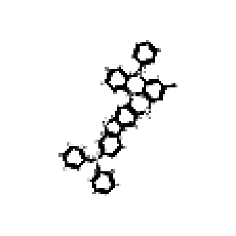 Cc1cc2c3c(c1)N(c1ccccc1)c1ccccc1B3c1cc3oc4cc(N(c5ccccc5)c5ccccc5)ccc4c3cc1O2